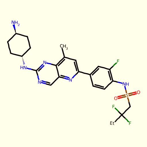 CCC(F)(F)CS(=O)(=O)Nc1ccc(-c2cc(C)c3nc(N[C@H]4CC[C@H](N)CC4)ncc3n2)cc1F